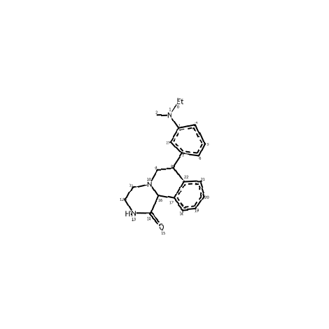 CCN(C)c1cccc(C2CN3CCNC(=O)C3c3ccccc32)c1